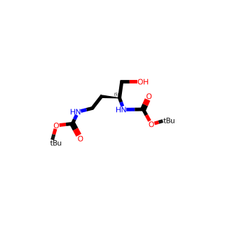 CC(C)(C)OC(=O)NCC[C@@H](CO)NC(=O)OC(C)(C)C